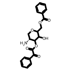 N[C@@H]1COC(COC(=O)c2ccccc2)C(O)C1OC(=O)C(=O)c1ccccc1